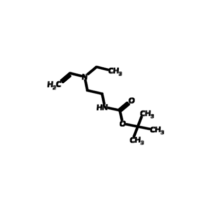 C=CN(CC)CCNC(=O)OC(C)(C)C